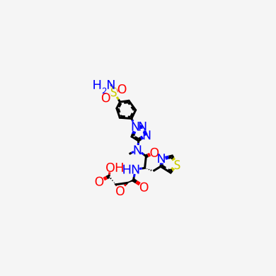 CN(C(=O)[C@H](Cc1cscn1)NC(=O)[C@H]1O[C@@H]1C(=O)O)c1cn(-c2ccc(S(N)(=O)=O)cc2)nn1